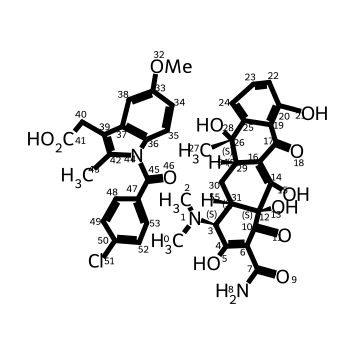 CN(C)[C@@H]1C(O)=C(C(N)=O)C(=O)[C@@]2(O)C(O)=C3C(=O)c4c(O)cccc4[C@@](C)(O)[C@H]3C[C@@H]12.COc1ccc2c(c1)c(CC(=O)O)c(C)n2C(=O)c1ccc(Cl)cc1